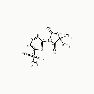 CC1(C)NC(=O)N(c2cccc(S(C)(=O)=O)c2)C1=O